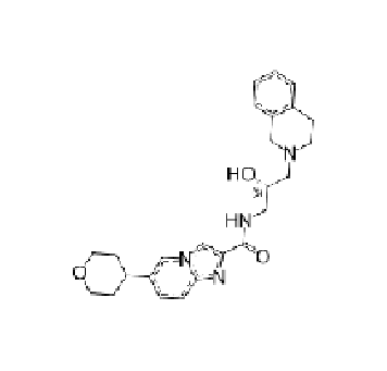 O=C(NC[C@H](O)CN1CCc2ccccc2C1)c1cn2cc(C3CCOCC3)ccc2n1